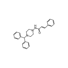 O=C(/C=C/c1ccccc1)NN1CCN(C(c2ccccc2)c2ccccc2)CC1